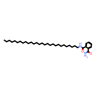 CCCCCCCCCCCCCCCCCCCCCCCCCCCCNC(=O)c1ccccc1C(N)=O